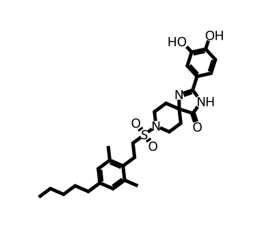 CCCCCc1cc(C)c(CCS(=O)(=O)N2CCC3(CC2)N=C(c2ccc(O)c(O)c2)NC3=O)c(C)c1